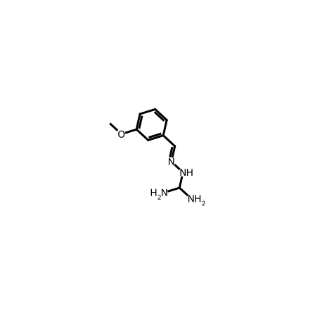 COc1cccc(/C=N/NC(N)N)c1